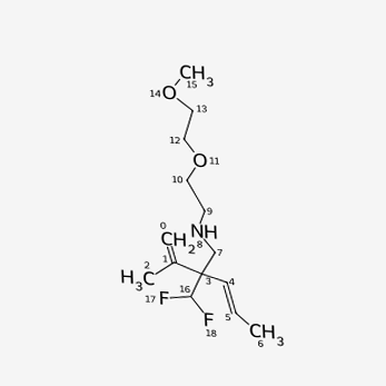 C=C(C)C(/C=C/C)(CNCCOCCOC)C(F)F